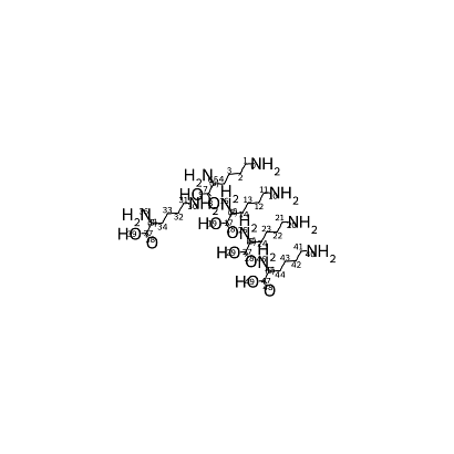 NCCCC[C@H](N)C(=O)O.NCCCC[C@H](N)C(=O)O.NCCCC[C@H](N)C(=O)O.NCCCC[C@H](N)C(=O)O.NCCCC[C@H](N)C(=O)O